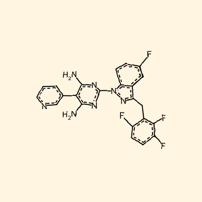 Nc1nc(-n2nc(Cc3c(F)ccc(F)c3F)c3cc(F)ccc32)nc(N)c1-c1cccnc1